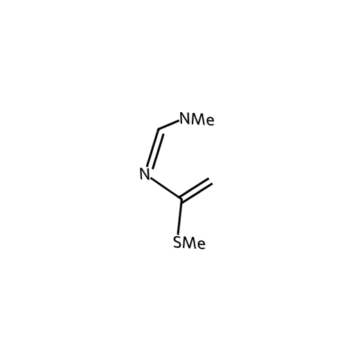 C=C(/N=C\NC)SC